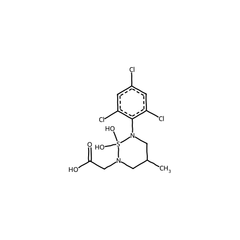 CC1CN(CC(=O)O)S(O)(O)N(c2c(Cl)cc(Cl)cc2Cl)C1